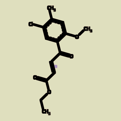 CCOC(=O)/C=C/C(=O)c1cc(Cl)c(C)cc1OC